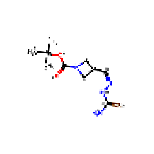 CC(C)(C)OC(=O)N1CC(/C=N\NC(N)=S)C1